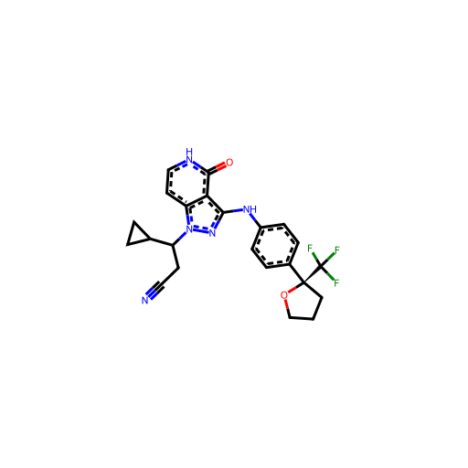 N#CCC(C1CC1)n1nc(Nc2ccc([C@]3(C(F)(F)F)CCCO3)cc2)c2c(=O)[nH]ccc21